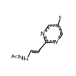 CC(=O)NC=Cc1ncc(F)cn1